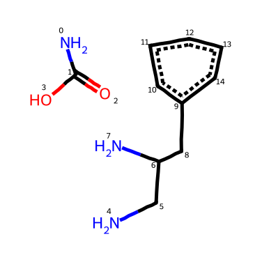 NC(=O)O.NCC(N)Cc1ccccc1